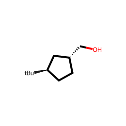 CC(C)(C)[C@@H]1CC[C@@H](CO)C1